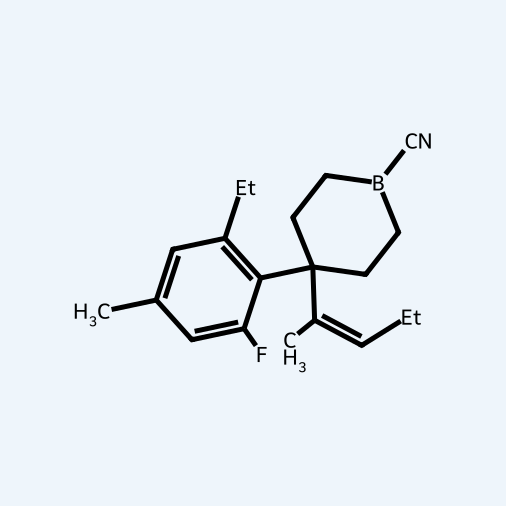 CC/C=C(/C)C1(c2c(F)cc(C)cc2CC)CCB(C#N)CC1